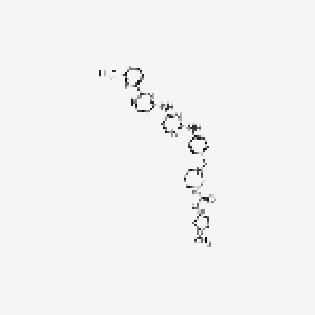 Cc1cccc(-c2nccc(Nc3ccnc(Nc4ccc(CN5CCC[C@@H](C(=O)O[C@@H]6CCN(C)C6)C5)cc4)n3)n2)n1